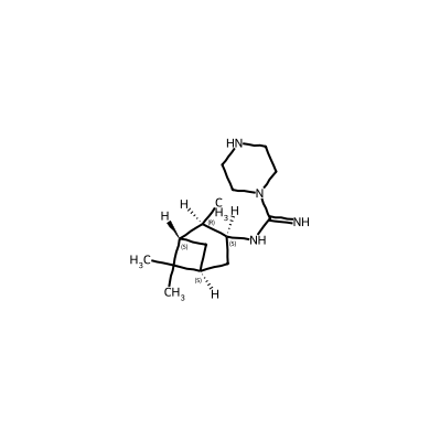 C[C@H]1[C@@H](NC(=N)N2CCNCC2)C[C@@H]2C[C@@H]1C2(C)C